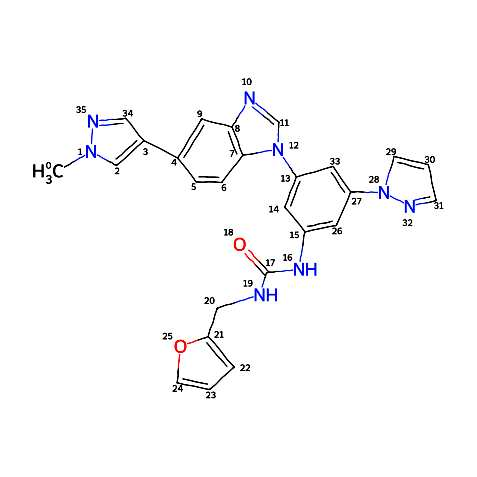 Cn1cc(-c2ccc3c(c2)ncn3-c2cc(NC(=O)NCc3ccco3)cc(-n3cccn3)c2)cn1